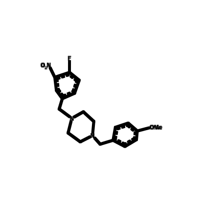 COc1ccc(CN2CCN(Cc3ccc(F)c([N+](=O)[O-])c3)CC2)cc1